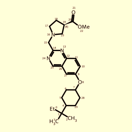 CCC(C)(C)C1CCC(Oc2ccc3nc(CN4CC[C@@H](C(=O)OC)C4)ncc3c2)CC1